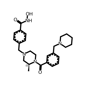 C[C@H]1CN(Cc2ccc(C(=O)NO)cc2)CCN1C(=O)c1cccc(CN2CCCCC2)c1